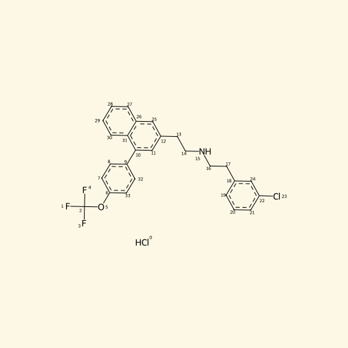 Cl.FC(F)(F)Oc1ccc(-c2cc(CCNCCc3cccc(Cl)c3)cc3ccccc23)cc1